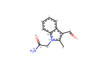 Cc1c(C=O)c2ccccc2n1CC(N)=O